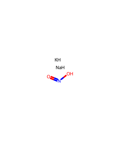 O=NO.[KH].[NaH]